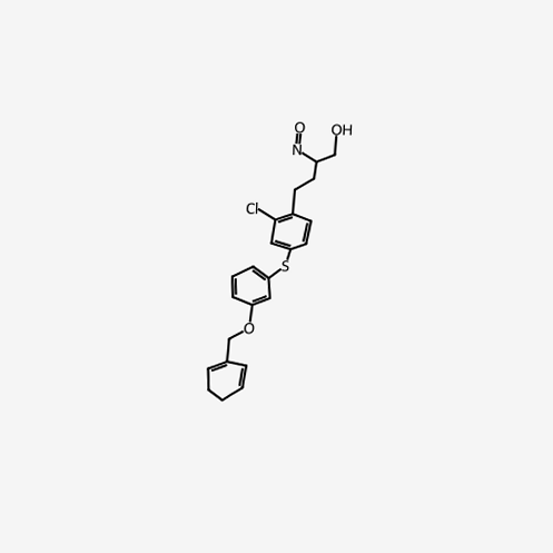 O=NC(CO)CCc1ccc(Sc2cccc(OCC3=CCCC=C3)c2)cc1Cl